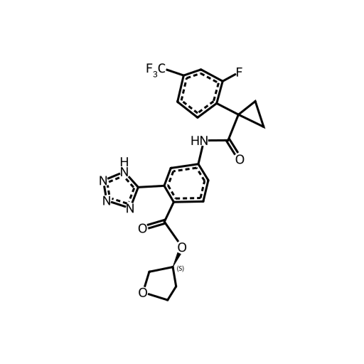 O=C(O[C@H]1CCOC1)c1ccc(NC(=O)C2(c3ccc(C(F)(F)F)cc3F)CC2)cc1-c1nnn[nH]1